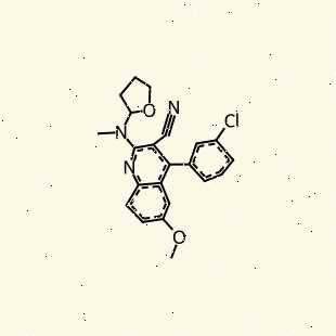 COc1ccc2nc(N(C)C3CCCO3)c(C#N)c(-c3cccc(Cl)c3)c2c1